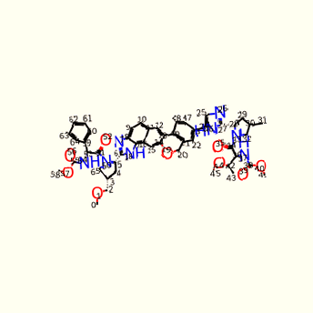 COC[C@H]1C[C@@H](c2nc3ccc4cc5c(cc4c3[nH]2)OCc2cc(-c3cnc([C@@H]4CC(C)CN4C(=O)C(NC(=O)OC)[C@@H](C)OC)[nH]3)ccc2-5)N(C(=O)[C@H](NC(=O)OC)c2ccccc2)C1